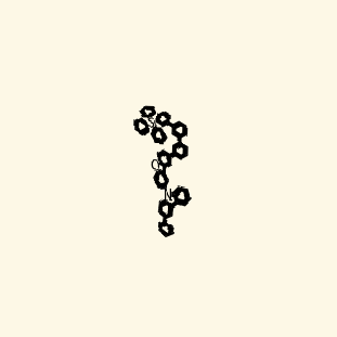 c1ccc(-c2ccc3c(c2)c2ccccc2n3-c2ccc3oc4ccc(-c5cccc(-c6cccc(-c7cccc([Si](c8ccccc8)(c8ccccc8)c8ccccc8)c7)c6)c5)cc4c3c2)cc1